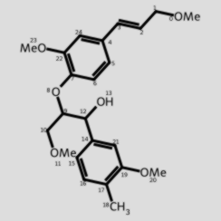 COC/C=C/c1ccc(OC(COC)C(O)c2ccc(C)c(OC)c2)c(OC)c1